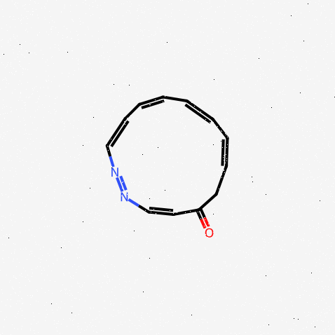 O=C1C=CN=NC=CC=CC=CC=CC1